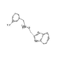 Clc1cccc(CNOCc2nc3ccccc3s2)c1